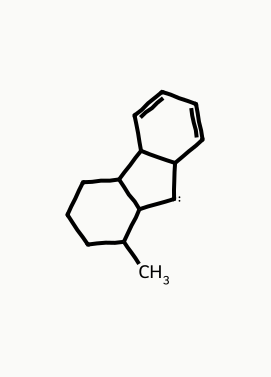 CC1CCCC2C1[C]C1C=CC=CC12